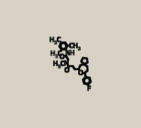 Cc1cc(C)c(NC(=O)CN(C)C(=O)CCC2CC3(CCCC3)CCC(c3ccc(F)cc3)O2)c(C)c1